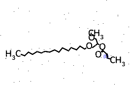 C/C=C/C(=O)OC(COC)COCCCCCCCCCCCCCCCC